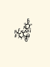 O=[N+]([O-])c1ccc(C(F)(F)F)nc1Nc1ccc(F)cn1